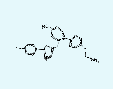 N#Cc1ccc(-c2ccc(CCN)cn2)c(Cn2cnc(-c3ccc(F)cc3)c2)c1